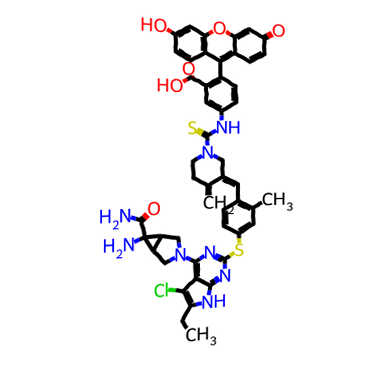 C=C1CCN(C(=S)Nc2ccc(-c3c4ccc(=O)cc-4oc4cc(O)ccc34)c(C(=O)O)c2)C/C1=C/c1ccc(Sc2nc(N3CC4C(C3)C4(N)C(N)=O)c3c(Cl)c(CC)[nH]c3n2)cc1C